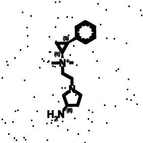 C[N+](C)(CCN1CC[C@@H](N)C1)[C@@H]1C[C@H]1c1ccccc1